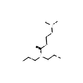 CCCN(CCC)C(=O)CCCN(C)C